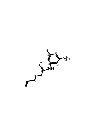 C=CCCCC(=O)Nc1cc(C)cc(C(F)(F)F)c1